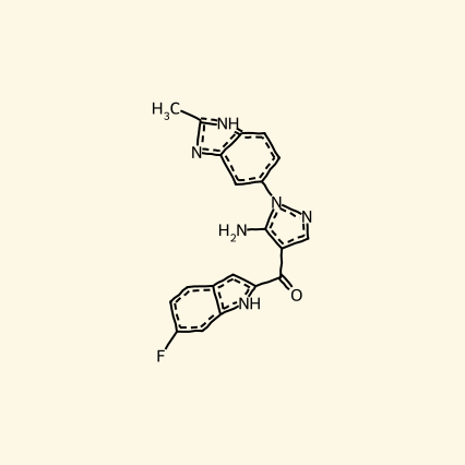 Cc1nc2cc(-n3ncc(C(=O)c4cc5ccc(F)cc5[nH]4)c3N)ccc2[nH]1